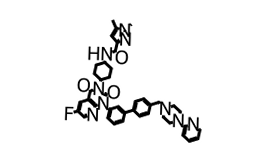 Cc1cc(C(=O)NC2CCC(n3c(=O)c4cc(F)cnc4n(-c4cccc(-c5ccc(CN6CCN(c7ccccn7)CC6)cc5)c4)c3=O)CC2)nn1C